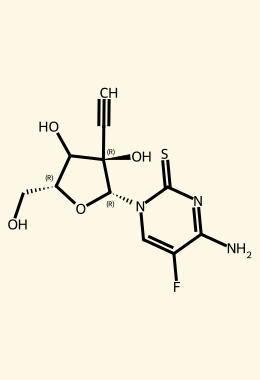 C#C[C@@]1(O)C(O)[C@@H](CO)O[C@H]1n1cc(F)c(N)nc1=S